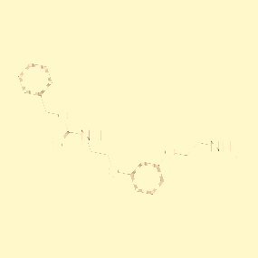 NCCOc1cccc(OCCNC(=O)OCc2ccccc2)c1